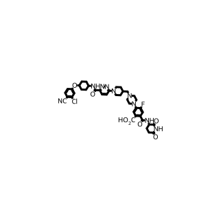 N#Cc1ccc(OC2CCC(NC(=O)c3ccc(N4CCC(CN5CCN(c6cc(C(=O)O)c(C(=O)NC7CCC(=O)NC7=O)cc6F)CC5)CC4)nn3)CC2)cc1Cl